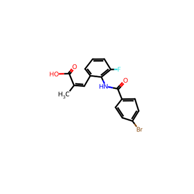 CC(=Cc1cccc(F)c1NC(=O)c1ccc(Br)cc1)C(=O)O